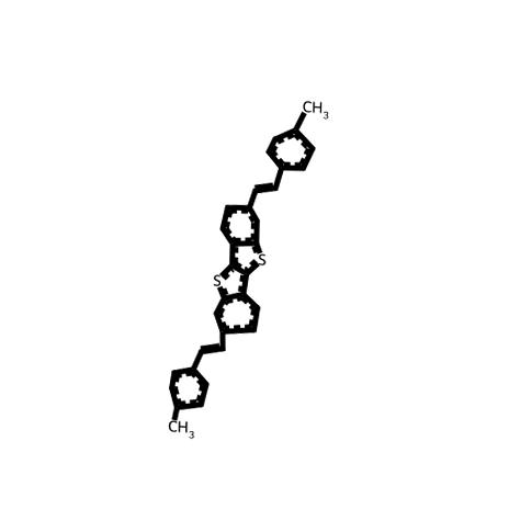 Cc1ccc(C=Cc2ccc3c(c2)sc2c4ccc(C=Cc5ccc(C)cc5)cc4sc32)cc1